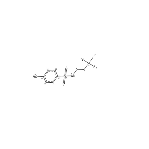 O=S(=O)(NCCC(F)(F)F)c1ccc(O)cc1